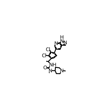 CC(NC(=O)N(C)C1CCN(C)CC1)c1ccc(-c2cnc3[nH]ncc3c2)c(Cl)c1Cl